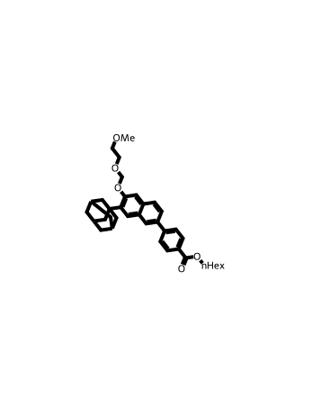 CCCCCCOC(=O)c1ccc(-c2ccc3cc(OCOCCOC)c(C45CC6CC(CC(C6)C4)C5)cc3c2)cc1